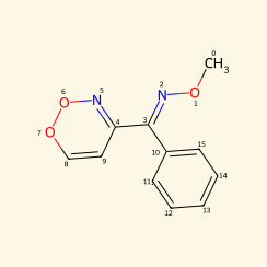 CON=C(C1=NOOC=C1)c1[c]cccc1